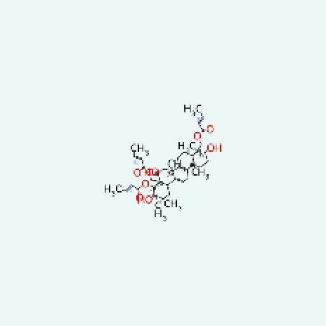 C/C=C/C(=O)OC[C@@]12C(CC(C)(C)[C@@H](O)[C@@H]1OC(=O)/C=C/C)C1=CCC3C(CCC4[C@]3(C)CC[C@H](O)[C@]4(C)COC(=O)/C=C/C)[C@]1(C)C[C@H]2O